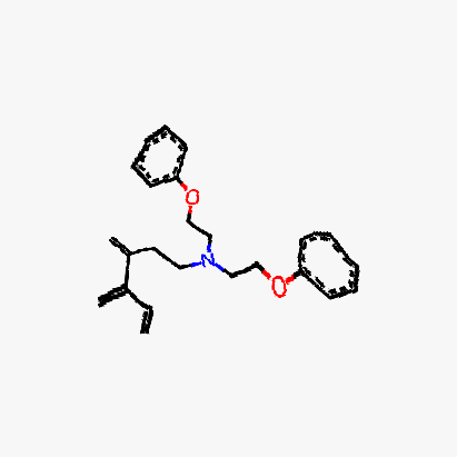 C=CC(=C)C(=C)CCN(CCOc1ccccc1)CCOc1ccccc1